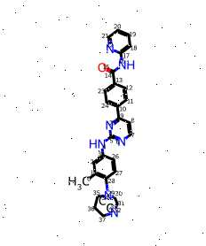 Cc1cc(Nc2nccc(-c3ccc(C(=O)Nc4ccccn4)cc3)n2)ccc1N1CCN2CCC1CC2